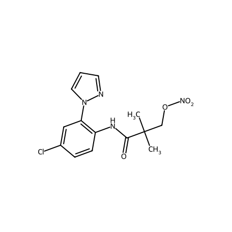 CC(C)(CO[N+](=O)[O-])C(=O)Nc1ccc(Cl)cc1-n1cccn1